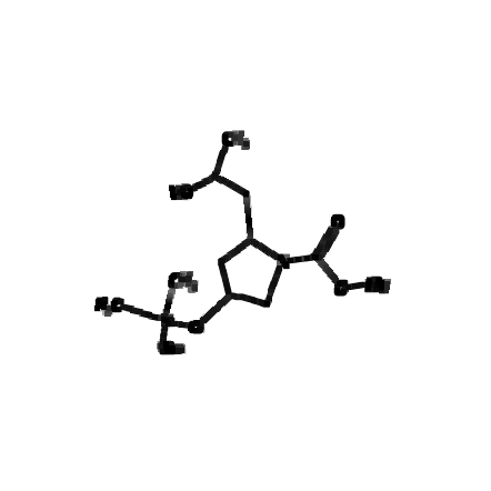 CC(O)CC1CC(O[Si](C)(C)C(C)(C)C)CN1C(=O)OC(C)(C)C